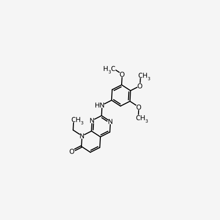 CCn1c(=O)ccc2cnc(Nc3cc(OC)c(OC)c(OC)c3)nc21